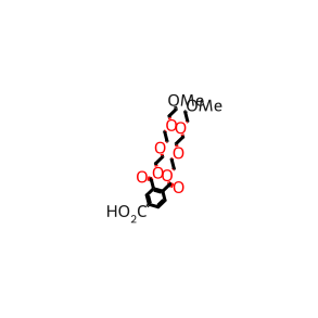 COCCOCCOCCOC(=O)c1ccc(C(=O)O)cc1C(=O)OCCOCCOCCOC